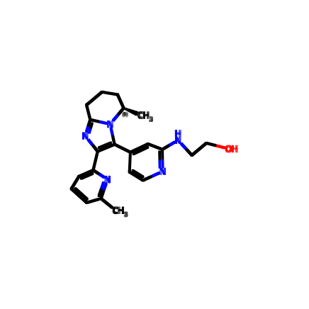 Cc1cccc(-c2nc3n(c2-c2ccnc(NCCO)c2)[C@H](C)CCC3)n1